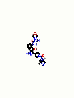 CN1C[C@@H]2C[C@H]1CN2C(=O)N1CCC(c2n[nH]c3c2C(=O)c2c(NC(=O)NN4CCOCC4)cccc2-3)CC1